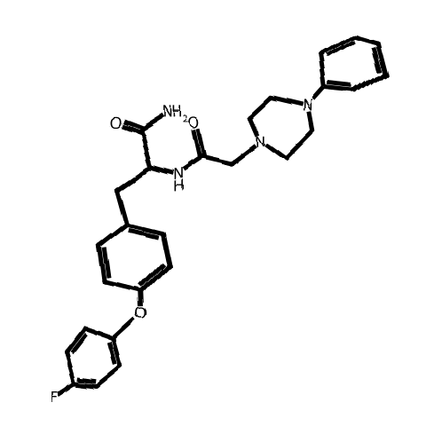 NC(=O)C(Cc1ccc(Oc2ccc(F)cc2)cc1)NC(=O)CN1CCN(c2ccccc2)CC1